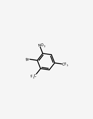 O=[N+]([O-])c1cc(C(F)(F)F)cc(C(F)(F)F)c1Br